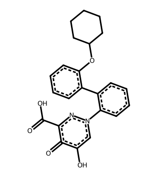 O=C(O)c1nn(-c2ccccc2-c2ccccc2OC2CCCCC2)cc(O)c1=O